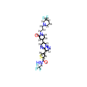 O=C(NCC(F)(F)F)c1cc(-c2cnn3cc(-c4ccn(CCCN5CCCC(F)(F)C5)c(=O)c4)cnc23)cs1